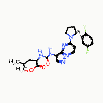 CC(C)CC(NC(=O)Nc1cnn2ccc(N3CCC[C@@H]3c3cc(F)ccc3F)nc12)C(=O)O